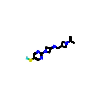 C=C(C)N1CC(CN=C2CN(c3ncc(SF)cn3)C2)C1